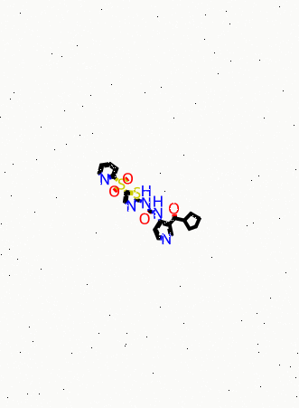 O=C(Nc1ncc(S(=O)(=O)c2ccccn2)s1)Nc1ccncc1C(=O)C1CCCC1